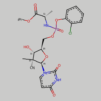 CC(C)OC(=O)[C@H](C)NP(=O)(OC[C@H]1O[C@@H](n2ccc(=O)[nH]c2=O)[C@](C)(C#N)[C@@H]1O)Oc1ccccc1Cl